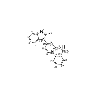 Cc1nc2ccccc2n1-c1ccnc(N[C@@H](C)c2ccccc2)n1